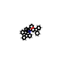 c1ccc(-c2ccccc2N(c2ccc3c(c2)C2(CCCCC2)c2ccccc2-3)c2cccc3c2C2(c4ccccc4-c4ccccc42)c2ccccc2-3)cc1